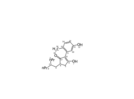 CCCC(CCC)CC1CC(O)=C(c2cc(O)ccc2C)C1=O